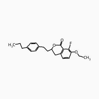 CCCc1ccc(CCC2Cc3ccc(OCC)c(F)c3C(=O)O2)cc1